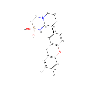 Cc1cc(C)c(Oc2ccc([C@@H]3CCCN4CCS(=O)(=O)N=C34)cc2)cc1C